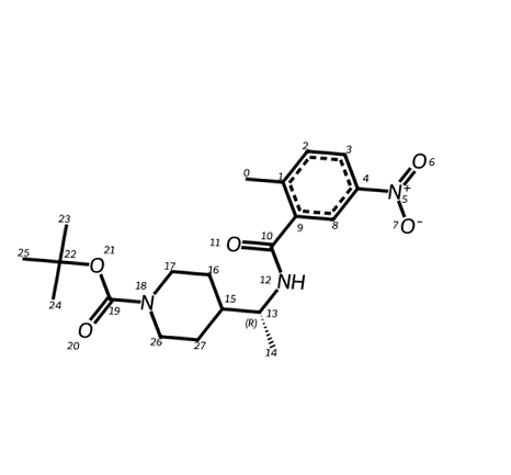 Cc1ccc([N+](=O)[O-])cc1C(=O)N[C@H](C)C1CCN(C(=O)OC(C)(C)C)CC1